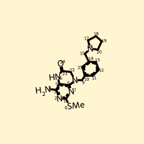 CSc1nc(N)c2c(n1)N(Cc1cccc(CN3CCCC3)c1)CC(=O)N2